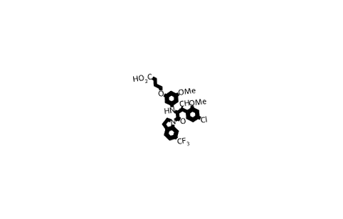 COc1cc(NC(C(=O)N2CCc3ccc(C(F)(F)F)cc32)[C@@H](C)c2ccc(Cl)cc2OC)cc(OCCCC(=O)O)c1